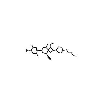 C#CC1CC(C2=CC(C)C(F)CC2C)CC(C)C12CC(C1CCC(CCCCC)CC1)C2CC